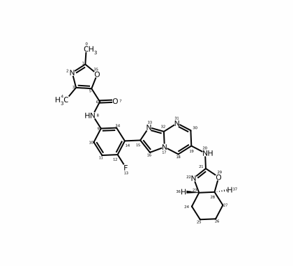 Cc1nc(C)c(C(=O)Nc2ccc(F)c(-c3cn4cc(NC5=N[C@H]6CCCC[C@@H]6O5)cnc4n3)c2)o1